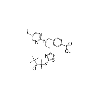 CCc1cnc(N(CCc2csc(SC(C)(C)C(=O)C(C)(C)C)n2)Cc2ccc(C(=O)OC)cc2)nc1